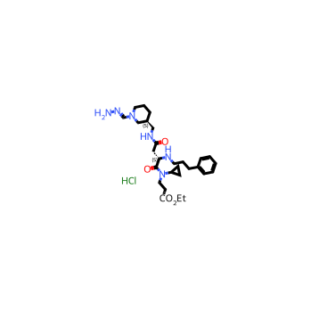 CCOC(=O)CCN(C(=O)[C@H](CC(=O)NC[C@@H]1CCCN(C=NN)C1)NCCCc1ccccc1)C1CC1.Cl